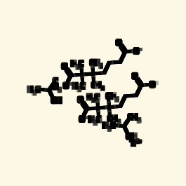 CC(C)(CCCC(=O)[O-])C(C)(C)C(=O)[O-].CC(C)(CCCC(=O)[O-])C(C)(C)C(=O)[O-].CC(C)O.CC(C)O.[Ti+4]